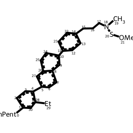 CCCCCc1ccc(-c2ccc3cc(-c4ccc(CCCN(C)SOC)cc4)ccc3c2)c(CC)c1